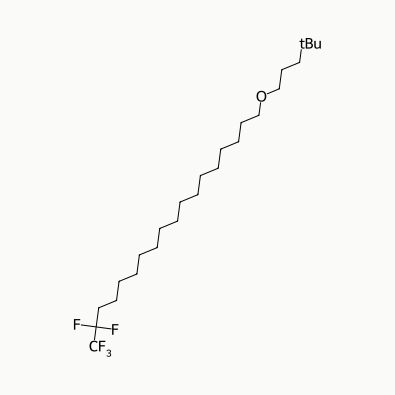 CC(C)(C)CCCOCCCCCCCCCCCCCCCCC(F)(F)C(F)(F)F